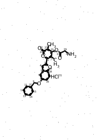 Cc1c(-c2cc3cc(OCc4ccccc4)ccc3o2)oc(=O)c(C)c1OC(=O)CN.Cl